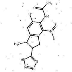 CC(=O)Nc1c(Br)cc2c(c1[N+](=O)[O-])CC(c1nnn[nH]1)C2C